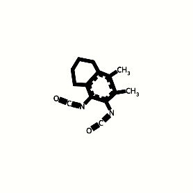 Cc1c(C)c(N=C=O)c(N=C=O)c2c1CCCC2